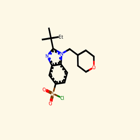 CCC(C)(C)c1nc2cc(S(=O)(=O)Cl)ccc2n1CC1CCOCC1